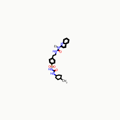 CCN(C(=O)NCCc1ccc(S(=O)(=O)NC(=O)NC2CCC(C)CC2)cc1)c1ccc2ccccc2n1